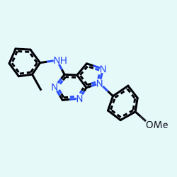 COc1ccc(-n2ncc3c(Nc4ccccc4C)ncnc32)cc1